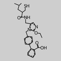 CCOc1ncc(CNC(=O)C(CS)CC(C)C)n1Cc1ccc(-c2ccccc2C(=O)O)cc1